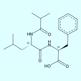 CC(C)C[C@H](NC(=O)C(C)C)C(=O)N[C@@H](Cc1ccccc1)C(=O)O